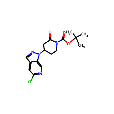 CC(C)(C)OC(=O)N1CCC(n2ncc3cc(Cl)ncc32)CC1=O